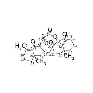 CC1=C2C(=O)C34CCC(=O)OC5C6=C(C)CCCC6(C)CCC5(CC3CC2(C)CCC1)OC4=O